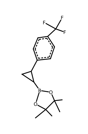 CC1(C)OB(C2CC2c2ccc(C(F)(F)F)cc2)OC1(C)C